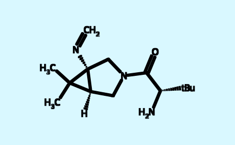 C=N[C@]12CN(C(=O)[C@@H](N)C(C)(C)C)C[C@H]1C2(C)C